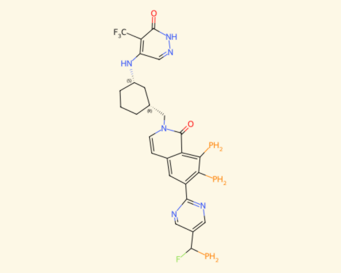 O=c1[nH]ncc(N[C@H]2CCC[C@@H](Cn3ccc4cc(-c5ncc(C(F)P)cn5)c(P)c(P)c4c3=O)C2)c1C(F)(F)F